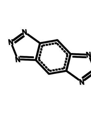 c1c2c(cc3c1=NN=N3)=NN=N2